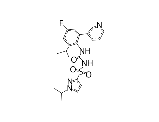 CC(C)c1cc(F)cc(-c2cccnc2)c1NC(=O)NS(=O)(=O)c1ccn(C(C)C)n1